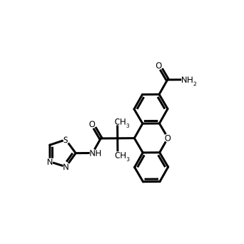 CC(C)(C(=O)Nc1nncs1)C1c2ccccc2Oc2cc(C(N)=O)ccc21